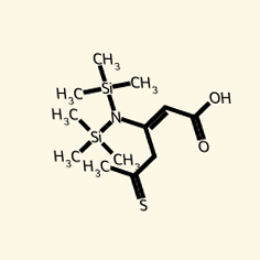 CC(=S)CC(=CC(=O)O)N([Si](C)(C)C)[Si](C)(C)C